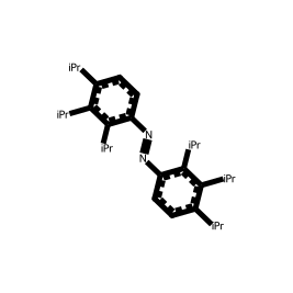 CC(C)c1ccc(/N=N/c2ccc(C(C)C)c(C(C)C)c2C(C)C)c(C(C)C)c1C(C)C